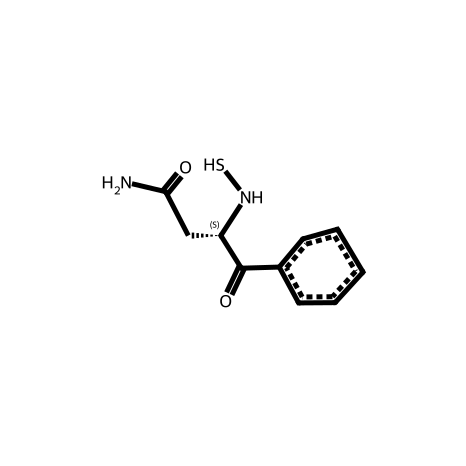 NC(=O)C[C@H](NS)C(=O)c1ccccc1